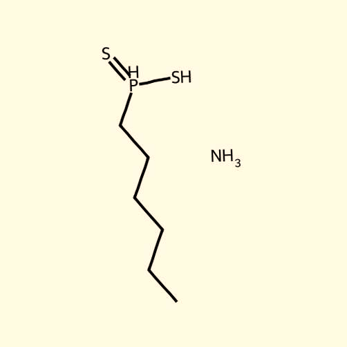 CCCCCC[PH](=S)S.N